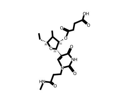 CC[C@H]1O[C@@H](c2cn(CCC(=O)NC)c(=O)[nH]c2=O)[C@@H](OC(=O)CCC(=O)O)C1C